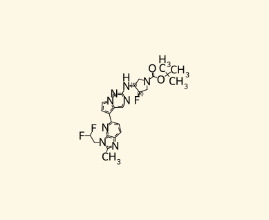 Cc1nc2ccc(-c3ccn4nc(N[C@H]5CN(C(=O)OC(C)(C)C)C[C@H]5F)ncc34)nc2n1CC(F)F